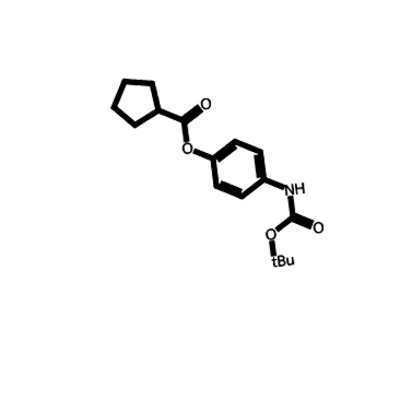 CC(C)(C)OC(=O)Nc1ccc(OC(=O)C2CCCC2)cc1